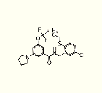 CCSc1ccc(Cl)cc1CNC(=O)c1cc(OC(F)(F)F)cc(N2CCCC2)c1